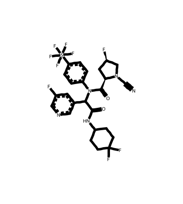 N#CN1C[C@H](F)C[C@@H]1C(=O)N(c1ccc(S(F)(F)(F)(F)F)cc1)C(C(=O)NC1CCC(F)(F)CC1)c1cncc(F)c1